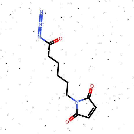 [N-]=[N+]=NC(=O)CCCCCN1C(=O)C=CC1=O